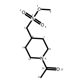 COS(=O)(=O)CC1CCN(C(C)=O)CC1